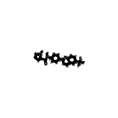 CN(C(=O)c1ccnn1C)c1ccc(-c2ncc3cc(C(F)(F)F)ccc3n2)cc1